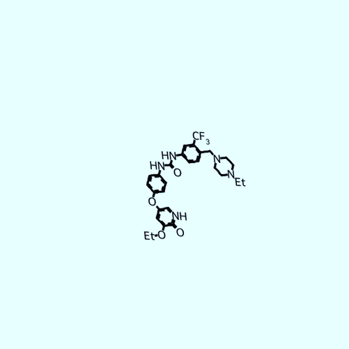 CCOc1cc(Oc2ccc(NC(=O)Nc3ccc(CN4CCN(CC)CC4)c(C(F)(F)F)c3)cc2)c[nH]c1=O